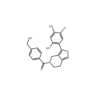 O=C(c1ccc(CO)cc1)N1CCc2noc(-c3cc(Cl)c(O)cc3O)c2C1